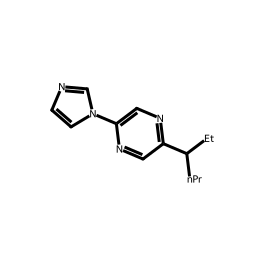 CCCC(CC)c1cnc(-n2ccnc2)cn1